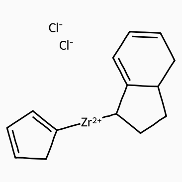 C1=CC[C]([Zr+2][CH]2CCC3CC=CC=C32)=C1.[Cl-].[Cl-]